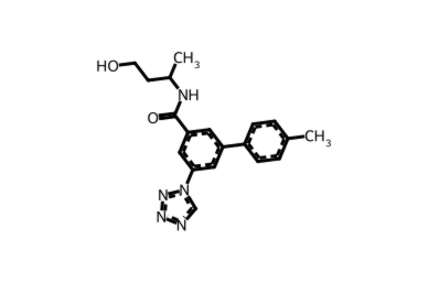 Cc1ccc(-c2cc(C(=O)NC(C)CCO)cc(-n3cnnn3)c2)cc1